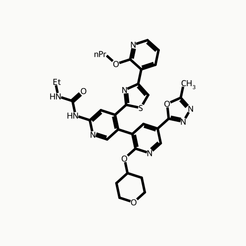 CCCOc1ncccc1-c1csc(-c2cc(NC(=O)NCC)ncc2-c2cc(-c3nnc(C)o3)cnc2OC2CCOCC2)n1